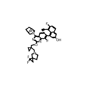 C#Cc1c(F)ccc2cc(O)cc(-c3c(F)cc4c(N5CC6CCC(C5)N6)nc(OCC5(CN6CCC7(C6)CC7(F)F)CC5)nc4c3F)c12